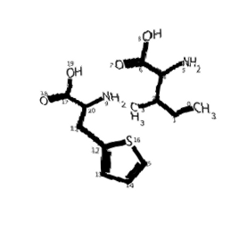 CCC(C)C(N)C(=O)O.NC(Cc1cccs1)C(=O)O